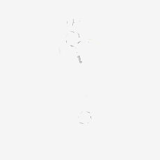 CCCc1cc(F)c(C#C[C@H]2CC[C@H](CCc3ccc(C(F)(F)F)cc3)CC2)c(F)c1